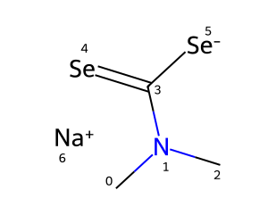 CN(C)C(=[Se])[Se-].[Na+]